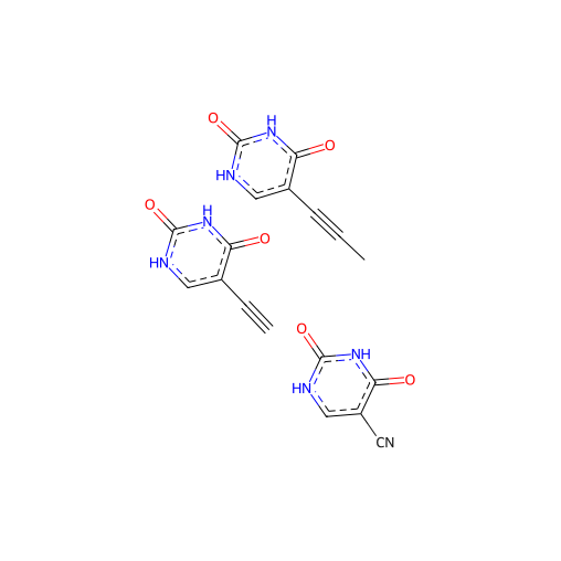 C#Cc1c[nH]c(=O)[nH]c1=O.CC#Cc1c[nH]c(=O)[nH]c1=O.N#Cc1c[nH]c(=O)[nH]c1=O